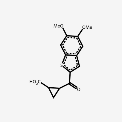 COc1cc2cc(C(=O)C3CC3C(=O)O)sc2cc1OC